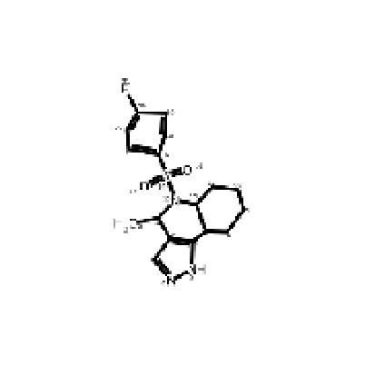 CC1c2cn[nH]c2C2CCCCC2N1S(=O)(=O)c1ccc(F)cc1